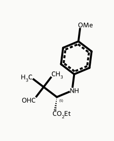 CCOC(=O)[C@@H](Nc1ccc(OC)cc1)C(C)(C)C=O